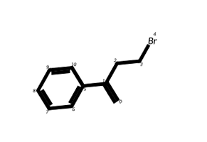 C=C(CCBr)c1ccccc1